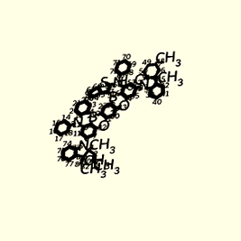 CCCC1(C)N(c2cc3c4c(c2)N(c2ccccc2)c2ccccc2B4c2cc4c(cc2O3)Oc2cc(N3c5ccccc5C5(C)CC(C)CCC35C)cc3c2B4c2c(sc4ccccc24)N3c2ccccc2)c2ccccc2C1(C)CC